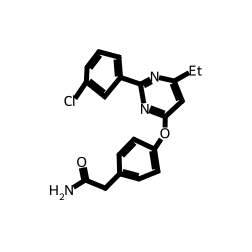 CCc1cc(Oc2ccc(CC(N)=O)cc2)nc(-c2cccc(Cl)c2)n1